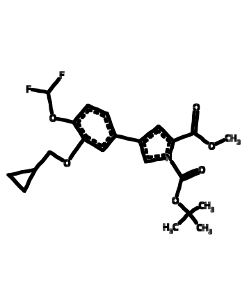 COC(=O)c1cc(-c2ccc(OC(F)F)c(OCC3CC3)c2)cn1C(=O)OC(C)(C)C